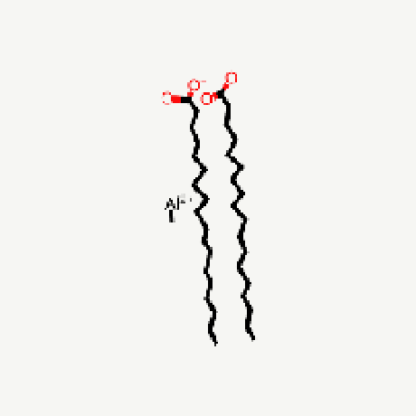 CCCCCCCCCCCCCCCCCC(=O)[O-].CCCCCCCCCCCCCCCCCC(=O)[O-].[CH3][Al+2]